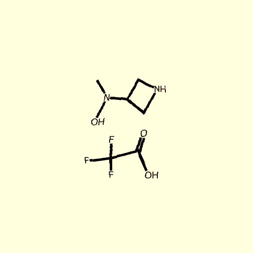 CN(O)C1CNC1.O=C(O)C(F)(F)F